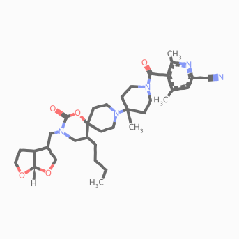 CCCCC1CN(CC2CO[C@@H]3OCCC23)C(=O)OC12CCN(C1(C)CCN(C(=O)c3c(C)cc(C#N)nc3C)CC1)CC2